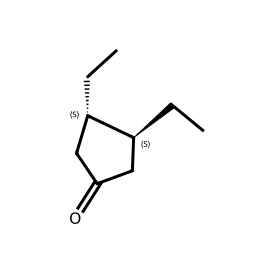 CC[C@H]1CC(=O)C[C@@H]1CC